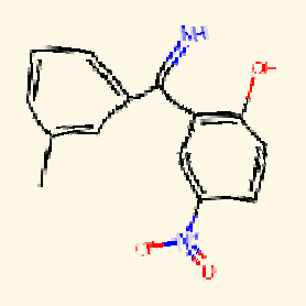 Cc1cccc(C(=N)c2cc([N+](=O)[O-])ccc2O)c1